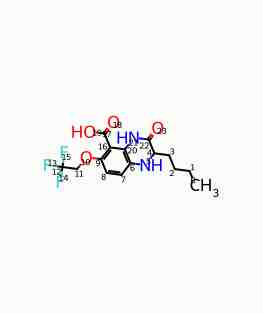 CCCCC1Nc2ccc(OCC(F)(F)F)c(C(=O)O)c2NC1=O